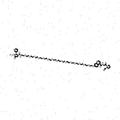 CN1C(=O)C[C@H](C(=O)NCCOCCOCCOCCOCCOCCOCCOCCOCCOCCOCCOCCOCCOCCOCCOCCOc2ccc3c(C(=O)NCC(=O)N4CCC[C@H]4C#N)ccnc3c2)[C@H]1c1cccnc1